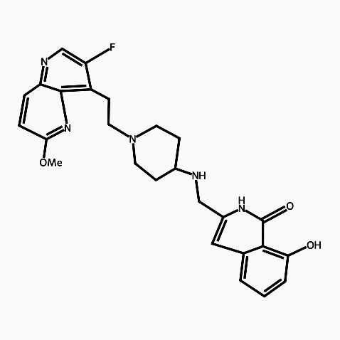 COc1ccc2ncc(F)c(CCN3CCC(NCc4cc5cccc(O)c5c(=O)[nH]4)CC3)c2n1